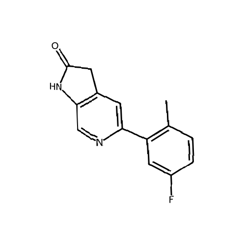 Cc1ccc(F)cc1-c1cc2c(cn1)NC(=O)C2